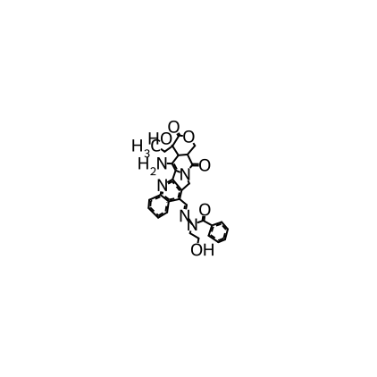 CC[C@@]1(O)C(=O)OCC2C(=O)N3Cc4c(nc5ccccc5c4/C=N/N(CCO)C(=O)c4ccccc4)C3=C(N)C21